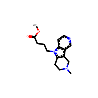 CC(C)OC(=O)CCCn1c2c(c3cnccc31)CN(C)CC2